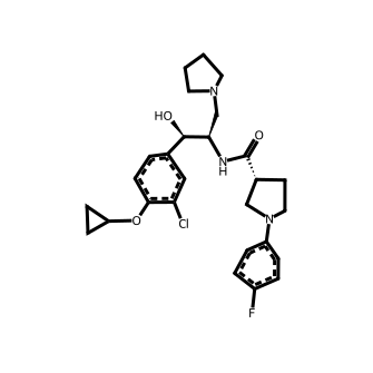 O=C(N[C@H](CN1CCCC1)[C@H](O)c1ccc(OC2CC2)c(Cl)c1)[C@@H]1CCN(c2ccc(F)cc2)C1